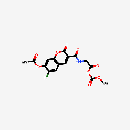 CCCC(=O)Oc1cc2oc(=O)c(C(=O)NCC(=O)OC(=O)OC(C)CC)cc2cc1Cl